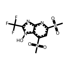 CS(=O)(=O)c1cc(S(C)(=O)=O)c2c(n1)nc(C(F)(F)F)n2O